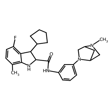 Cc1ccc(F)c2c1NC(C(=O)Nc1cccc(N3CC4CC3CN4C)c1)C2C1CCCC1